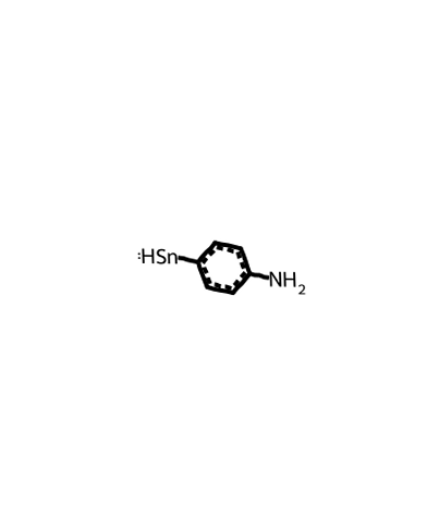 Nc1cc[c]([SnH])cc1